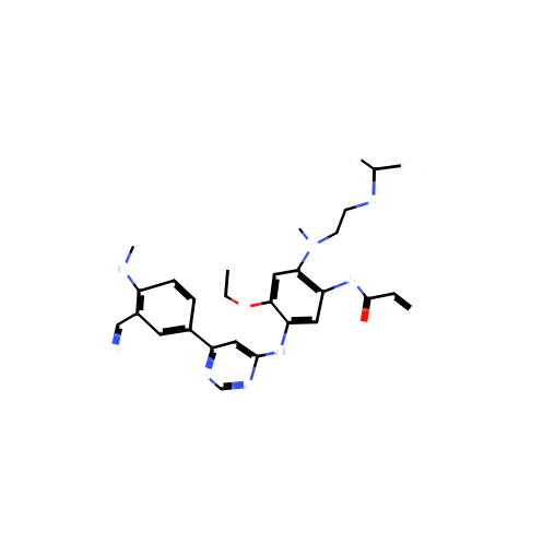 C=CC(=O)Nc1cc(Nc2cc(-c3ccc(NC)c(C=N)c3)ncn2)c(OCC)cc1N(C)CCNC(C)C